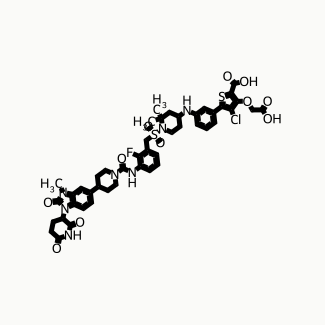 Cn1c(=O)n(C2CCC(=O)NC2=O)c2ccc(C3CCN(C(=O)Nc4cccc(CS(=O)(=O)N5CCC(Nc6cccc(-c7sc(C(=O)O)c(OCC(=O)O)c7Cl)c6)CC5(C)C)c4F)CC3)cc21